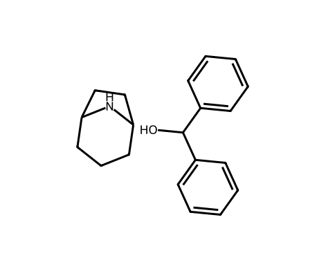 C1CC2CCC(C1)N2.OC(c1ccccc1)c1ccccc1